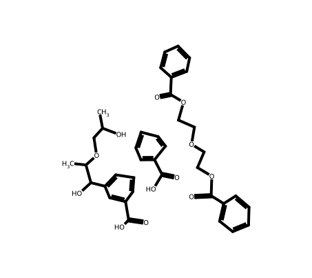 CC(O)COC(C)C(O)c1cccc(C(=O)O)c1.O=C(O)c1ccccc1.O=C(OCCOCCOC(=O)c1ccccc1)c1ccccc1